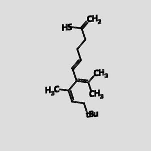 C=C(S)CC/C=C/C(=C(C)C)/C(C)=C\CC(C)(C)C